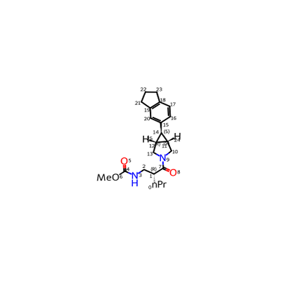 CCC[C@H](CNC(=O)OC)C(=O)N1C[C@@H]2[C@H](C1)[C@H]2c1ccc2c(c1)CCC2